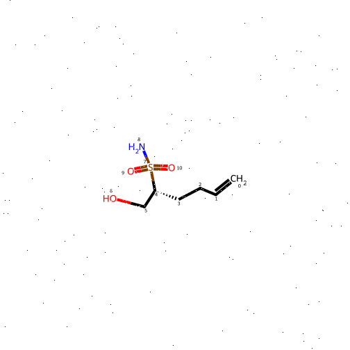 C=CCC[C@H](CO)S(N)(=O)=O